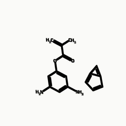 C=C(C)C(=O)Oc1cc(N)cc(N)c1.c1cc2cc-2c1